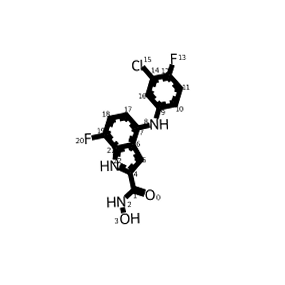 O=C(NO)c1cc2c(Nc3ccc(F)c(Cl)c3)ccc(F)c2[nH]1